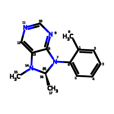 Cc1ccccc1N1c2ncncc2N(C)[C@@H]1C